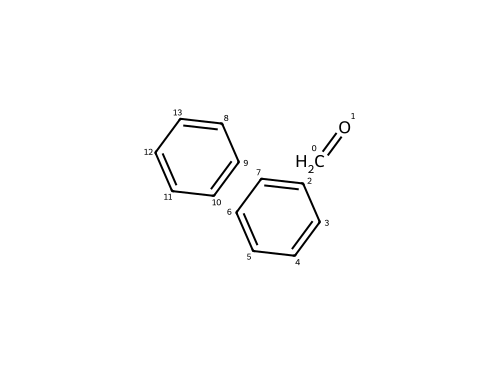 C=O.c1ccccc1.c1ccccc1